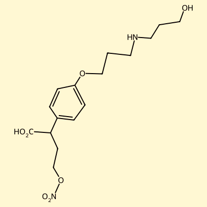 O=C(O)C(CCO[N+](=O)[O-])c1ccc(OCCCNCCCO)cc1